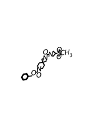 CS(=O)(=O)C1CN(C(=O)N2CC3(CCN(C(=O)OCc4ccccc4)CC3)C2)C1